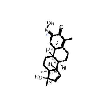 CC1=C2CC[C@@H]3[C@H](CC[C@@]4(C)[C@H]3C=C[C@]4(C)O)[C@@]2(C)C/C(=N/O)C1=O